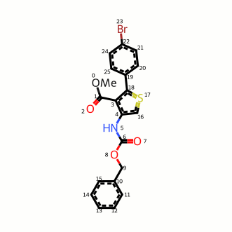 COC(=O)c1c(NC(=O)OCc2ccccc2)csc1-c1ccc(Br)cc1